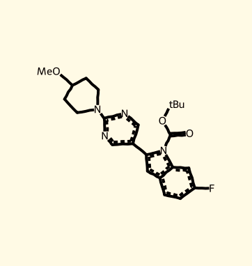 COC1CCN(c2ncc(-c3cc4ccc(F)cc4n3C(=O)OC(C)(C)C)cn2)CC1